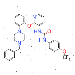 O=C(Nc1ccc(OC(F)(F)F)cc1)Nc1cccnc1Oc1ccccc1N1CCN(Cc2ccccc2)CC1